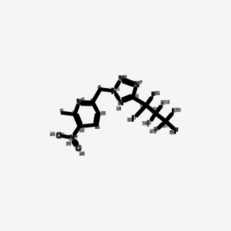 Cc1nc(Cn2nnc(C(F)(F)C(F)(F)C(F)(F)F)n2)ccc1[N+](=O)[O-]